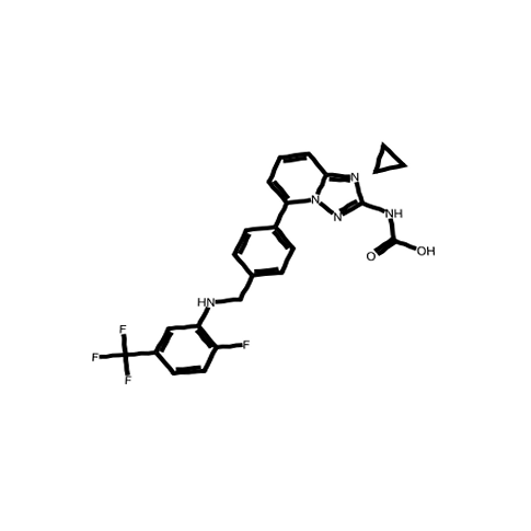 C1CC1.O=C(O)Nc1nc2cccc(-c3ccc(CNc4cc(C(F)(F)F)ccc4F)cc3)n2n1